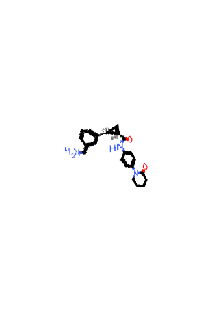 NCc1cccc([C@H]2C[C@H]2C(=O)Nc2ccc(N3CCCCC3=O)cc2)c1